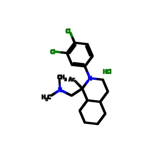 CC(=O)C1(CN(C)C)C2CCCCC2CCN1c1ccc(Cl)c(Cl)c1.Cl